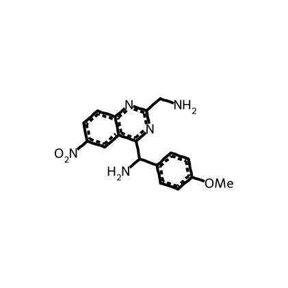 COc1ccc(C(N)c2nc(CN)nc3ccc([N+](=O)[O-])cc23)cc1